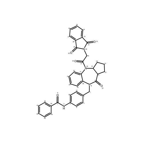 O=C(Nc1ccc(CN2C(=O)C3CCCC3N(C(=O)CN3C(=O)c4ccccc4C3=O)c3ccccc32)cc1)c1ccccc1